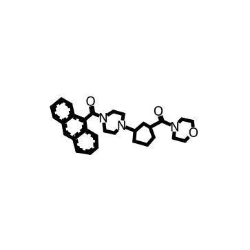 O=C(c1c2ccccc2cc2ccccc12)N1CCN(C2CCCC(C(=O)N3CCOCC3)C2)CC1